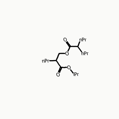 CCCC(CCC)C(=O)OCC(CCC)C(=O)OC(C)C